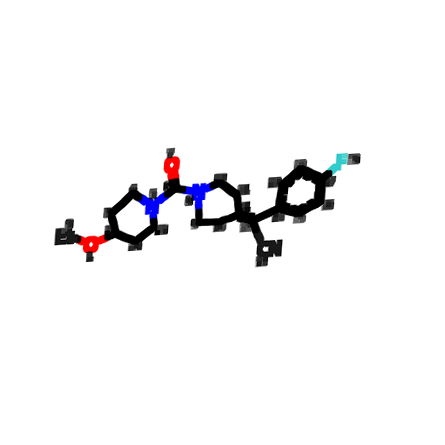 CCOC1CCN(C(=O)N2CCC(=C(C#N)c3ccc(F)cc3)CC2)CC1